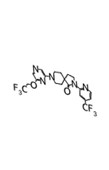 O=C1N(c2cc(C(F)(F)F)ccn2)CCC12CCN(c1cncc(OCC(F)(F)F)n1)CC2